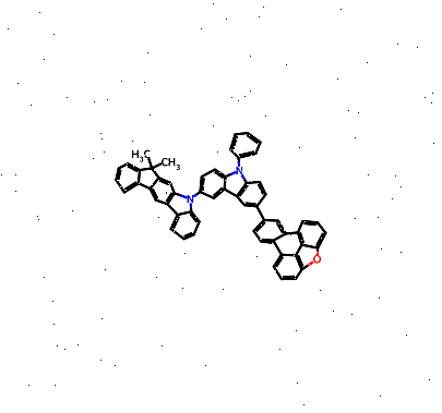 CC1(C)c2ccccc2-c2cc3c4ccccc4n(-c4ccc5c(c4)c4cc(-c6ccc7c(c6)c6cccc8oc9cccc7c9c86)ccc4n5-c4ccccc4)c3cc21